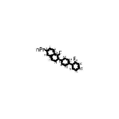 CCCc1ccc2c(F)c(-c3ccc(-c4ccccc4F)cc3)ccc2c1